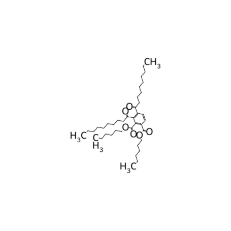 CCCCCCCCCC(=O)c1ccc(C(=O)OCCCCCC)c(C(=O)OCCCCCC)c1C(=O)CCCCCCCCC